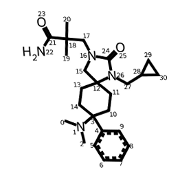 CN(C)C1(c2ccccc2)CCC2(CC1)CN(CC(C)(C)C(N)=O)C(=O)N2CC1CC1